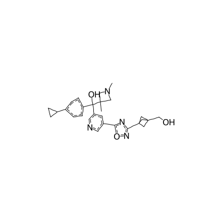 CN1CC(C)(C(O)(c2ccc(C3CC3)cc2)c2cncc(-c3nc(C45CC(CO)(C4)C5)no3)c2)C1